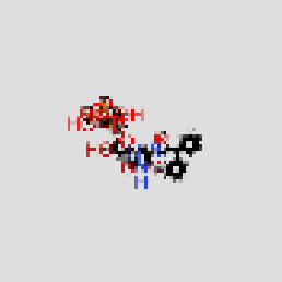 O=CN(CCC(c1ccccc1)c1ccccc1)c1cn([C@H]2C[C@H](O)[C@@H](COP(=O)(O)OP(=O)(O)OP(=O)(O)O)O2)c(=O)[nH]c1=O